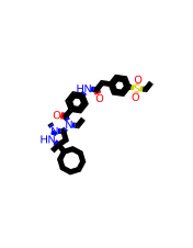 CCN(C(=O)c1ccc(NC(=O)Cc2ccc(S(=O)(=O)CC)cc2)cc1)C1CC(C)(C2CCCCCCC2)NN1C